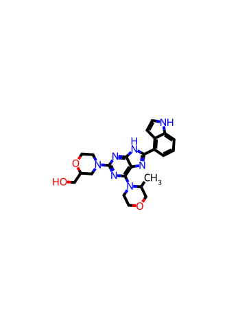 CC1COCCN1c1nc(N2CCOC(CO)C2)nc2[nH]c(-c3cccc4[nH]ccc34)nc12